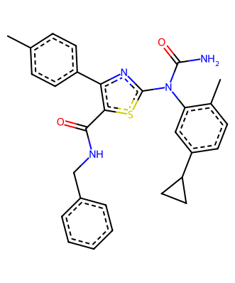 Cc1ccc(-c2nc(N(C(N)=O)c3cc(C4CC4)ccc3C)sc2C(=O)NCc2ccccc2)cc1